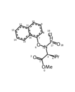 COC(=O)[C@H](C(C)C)N(Oc1cccc2ccccc12)[PH](=O)Cl